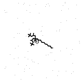 CCCCCCCCCCCC(CC(C)CC(C)(C)C)(CC(C)CC(C)(C)C)P=O